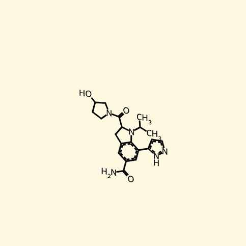 CC(C)N1c2c(cc(C(N)=O)cc2-c2ccn[nH]2)CC1C(=O)N1CCC(O)C1